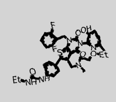 CCNC(=O)Nc1ccc(-c2sc3c(c2CN(C)CCOCC)c(=O)n(-c2nc(C)ccc2O)c(=O)n3Cc2c(F)cccc2F)cc1